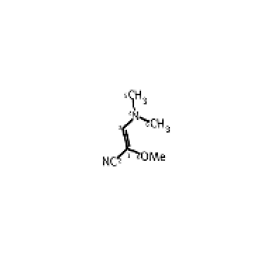 CO/C(C#N)=C\N(C)C